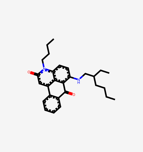 CCCCC(CC)CNc1ccc2c3c(cc(=O)n2CCCC)-c2ccccc2C(=O)c13